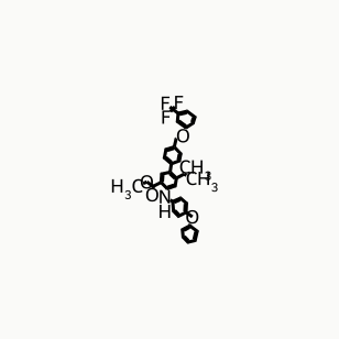 COC(=O)c1cc(-c2ccc(COc3cccc(C(F)(F)F)c3)cc2)c(C(C)C)cc1Nc1ccc(Oc2ccccc2)cc1